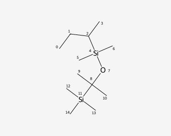 CCC(C)[Si](C)(C)OC(C)(C)[Si](C)(C)C